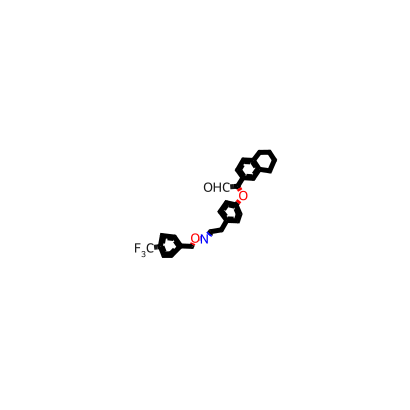 O=CC(Oc1ccc(CC=NOCc2ccc(C(F)(F)F)cc2)cc1)c1ccc2c(c1)CCCC2